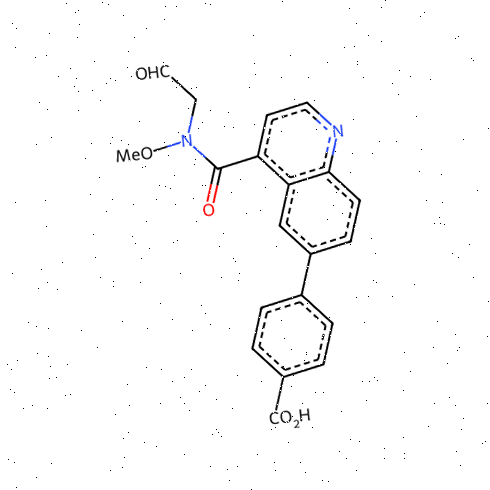 CON(CC=O)C(=O)c1ccnc2ccc(-c3ccc(C(=O)O)cc3)cc12